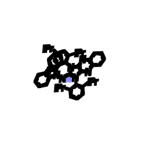 CC(C)c1cc(C(C)C)c(-n2/c(=N\n3c4ccccc4c4ccccc43)n(-c3c(C(C)C)cccc3C(C)C)c3nc4ccccc4nc32)c(C(C)C)c1